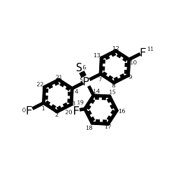 Fc1ccc(P(=S)(c2ccc(F)cc2)c2ccccc2F)cc1